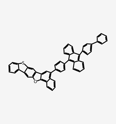 c1ccc(-c2ccc(-c3c4ccccc4c(-c4ccc(-c5cc6c7cc8sc9ccccc9c8cc7oc6c6ccccc56)cc4)c4ccccc34)cc2)cc1